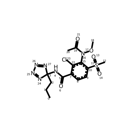 CCCC1(NC(=O)c2ccc(S(C)(=O)=O)c(N(OC)C(C)=O)c2Cl)N=NN=N1